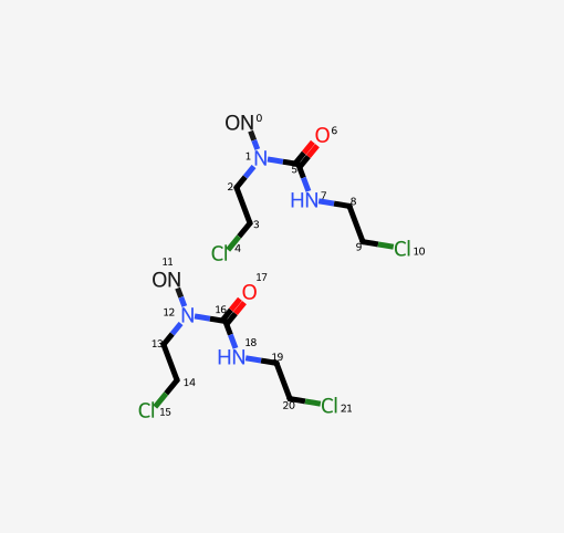 O=NN(CCCl)C(=O)NCCCl.O=NN(CCCl)C(=O)NCCCl